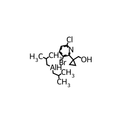 CC(C)[CH2][AlH][CH2]C(C)C.OCC1(c2nc(Cl)ccc2Br)CC1